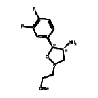 COCCN1C[C@@H](N)[C@H](c2ccc(F)c(F)c2)O1